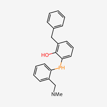 CNCc1ccccc1Pc1cccc(Cc2ccccc2)c1O